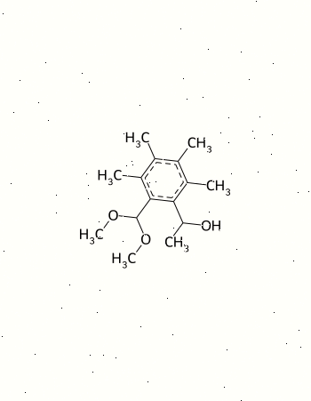 COC(OC)c1c(C)c(C)c(C)c(C)c1C(C)O